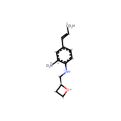 O=C(O)/C=C/c1ccc(NC[C@@H]2CCO2)c([N+](=O)[O-])c1